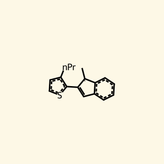 CCCc1ccsc1C1=Cc2ccccc2[C]1C